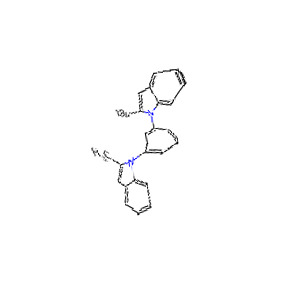 Cc1cc2ccccc2n1-c1cccc(-n2c(C(C)(C)C)cc3ccccc32)c1